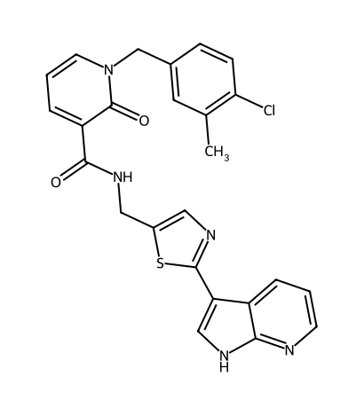 Cc1cc(Cn2cccc(C(=O)NCc3cnc(-c4c[nH]c5ncccc45)s3)c2=O)ccc1Cl